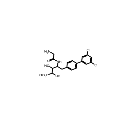 CCOC(=O)C(O)C(O)C(Cc1ccc(-c2cc(Cl)cc(Cl)c2)cc1)NC(=O)CN